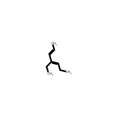 CC=CC(=CCC)CC